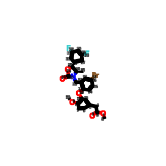 COC(=O)Cc1ccc(OC)c(Oc2ccc(Br)cc2CN2C(=O)O[C@@H](c3cc(F)cc(F)c3)[C@H]2C)c1